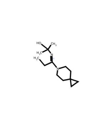 CC/C(=N\C(C)(C)O)N1CCC2(CC1)CC2